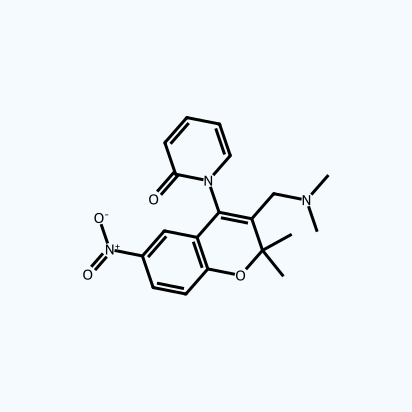 CN(C)CC1=C(n2ccccc2=O)c2cc([N+](=O)[O-])ccc2OC1(C)C